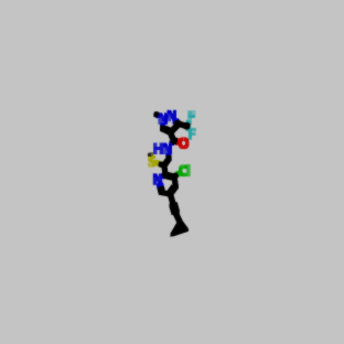 CSC(CNC(=O)c1cn(C)nc1C(F)F)c1ncc(C#CC2CC2)cc1Cl